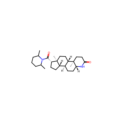 CC1CCCC(C)N1C(=O)[C@H]1CC[C@H]2[C@@H]3CC[C@H]4NC(=O)CC[C@]4(C)[C@H]3CC[C@]12C